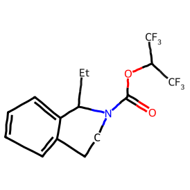 CCC1c2ccccc2CCN1C(=O)OC(C(F)(F)F)C(F)(F)F